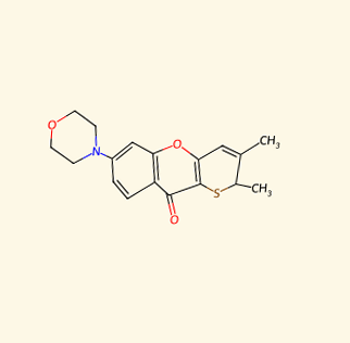 CC1=Cc2oc3cc(N4CCOCC4)ccc3c(=O)c2SC1C